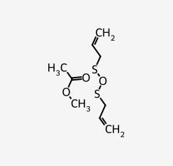 C=CCSOSCC=C.COC(C)=O